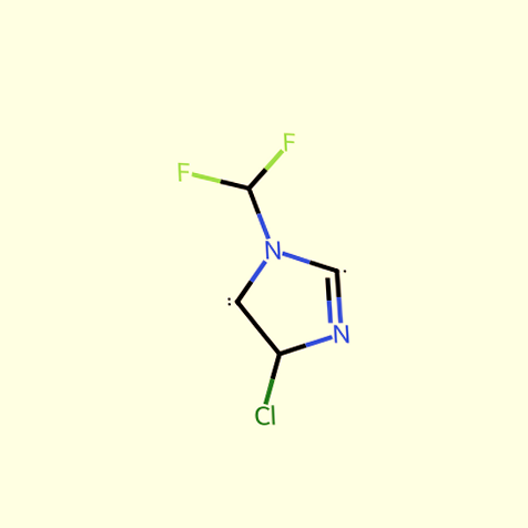 FC(F)N1[C]C(Cl)N=[C]1